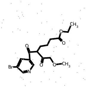 CCOC(=O)CCCC(C(=O)COC)C(=O)c1cncc(Br)c1